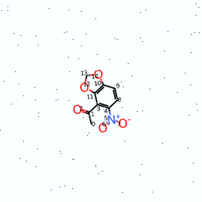 CC(=O)c1c([N+](=O)[O-])ccc2c1OCO2